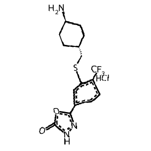 Cl.N[C@H]1CC[C@H](CSc2cc(-c3n[nH]c(=O)o3)ccc2C(F)(F)F)CC1